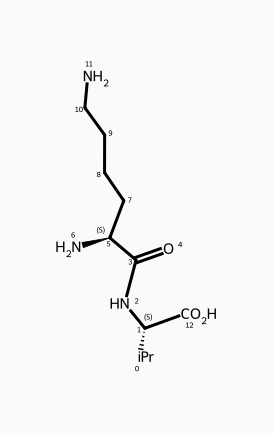 CC(C)[C@H](NC(=O)[C@@H](N)CCCCN)C(=O)O